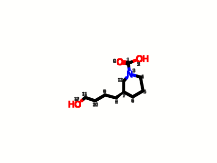 O=C(O)N1CCC[C@@H](CCCCO)C1